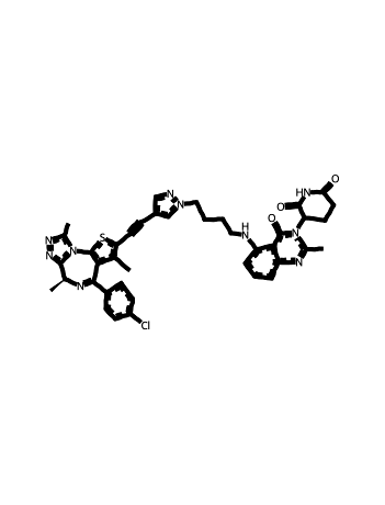 Cc1c(C#Cc2cnn(CCCCNc3cccc4nc(C)n(C5CCC(=O)NC5=O)c(=O)c34)c2)sc2c1C(c1ccc(Cl)cc1)=N[C@@H](C)c1nnc(C)n1-2